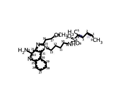 C/C=C\C=C(/C)S(=O)(=O)NCCCCn1c(CCOC)nc2c(N)nc3ccccc3c21